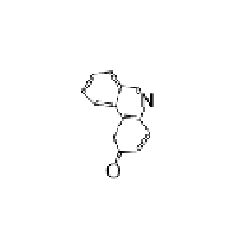 O=C1C=Cc2ncc3ccccc3c2C1